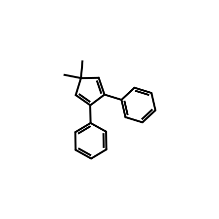 CC1(C)C=C(c2ccccc2)C(c2ccccc2)=C1